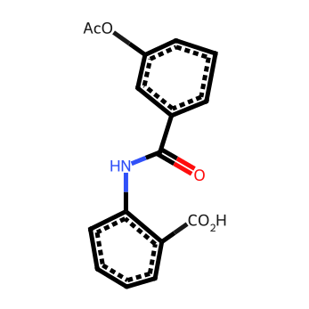 CC(=O)Oc1cccc(C(=O)Nc2ccccc2C(=O)O)c1